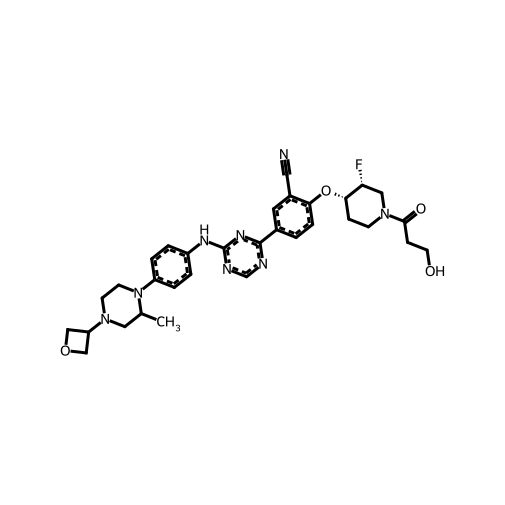 CC1CN(C2COC2)CCN1c1ccc(Nc2ncnc(-c3ccc(O[C@H]4CCN(C(=O)CCO)C[C@H]4F)c(C#N)c3)n2)cc1